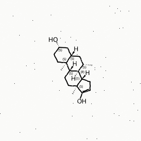 C[C@H]1C[C@H]2C[C@@H](O)CC[C@]2(C)[C@H]2CC[C@]3(C)C(O)=CC[C@H]3[C@H]12